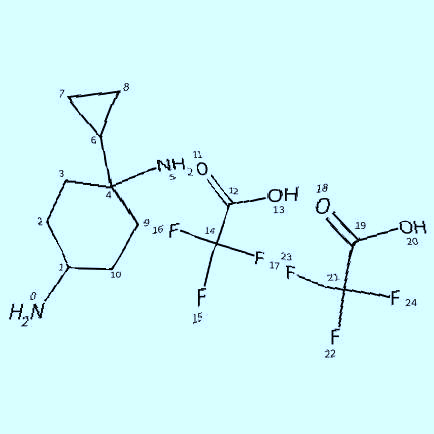 NC1CCC(N)(C2CC2)CC1.O=C(O)C(F)(F)F.O=C(O)C(F)(F)F